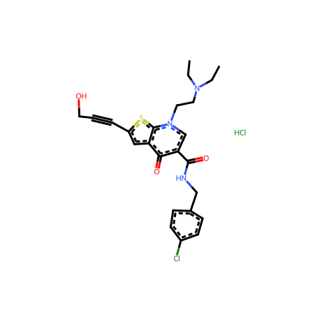 CCN(CC)CCn1cc(C(=O)NCc2ccc(Cl)cc2)c(=O)c2cc(C#CCO)sc21.Cl